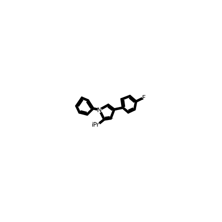 CC(C)c1[c]c(-c2ccc(F)cc2)cn1-c1ccccc1